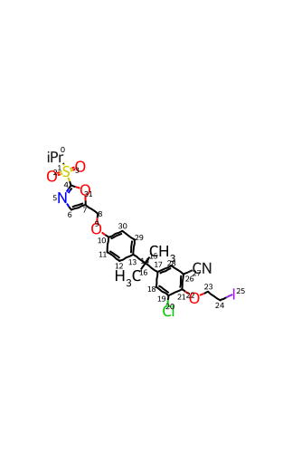 CC(C)S(=O)(=O)c1ncc(COc2ccc(C(C)(C)c3cc(Cl)c(OCCI)c(C#N)c3)cc2)o1